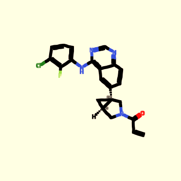 C=CC(=O)N1C[C@H]2C[C@@]2(c2ccc3ncnc(Nc4cccc(Cl)c4F)c3c2)C1